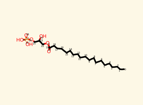 CCCCCCCCCCCCCCCCCCCC(=O)OCC(O)COP(=O)(O)O